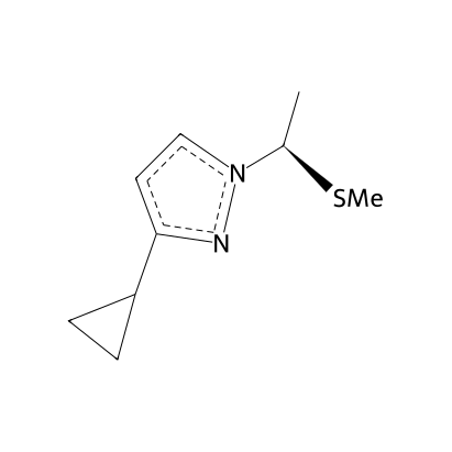 CS[C@H](C)n1ccc(C2CC2)n1